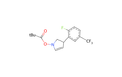 CC(C)(C)C(=O)ON1C=CC(c2cc(C(F)(F)F)ccc2F)C1